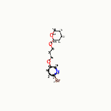 Brc1ccc(OCCCOC2CCCCO2)cn1